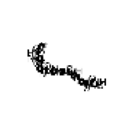 N#Cc1c(NS(=O)(=O)N2CC[C@@H](F)C2)ccc(F)c1Oc1ccc2ncn(-c3ccc(N4CCN(C(=O)CC5(O)CCN(c6ccc7c(c6)CN([C@H]6CCC(=O)NC6=O)C7=O)CC5)CC4)nc3)c(=O)c2c1